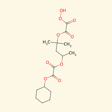 CC(CC(C)(C)OC(=O)C(=O)OO)OC(=O)C(=O)OC1CCCCC1